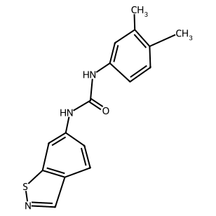 Cc1ccc(NC(=O)Nc2ccc3cnsc3c2)cc1C